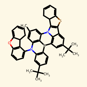 Cc1cc2c3c(c1)-n1c4c(c5cc(C(C)(C)C)cc(c51)B3c1ccc(C(C)(C)C)cc1N2c1cccc2c1C1CC=CC=C1O2)SC1=CC=CCC14